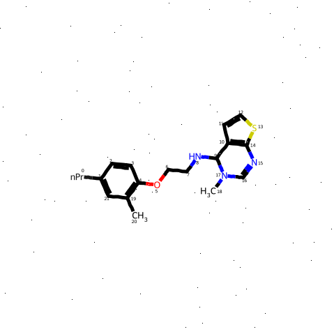 CCCc1ccc(OCCNC2c3ccsc3N=CN2C)c(C)c1